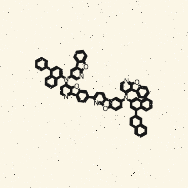 c1ccc(-c2ccc(N(c3cnc4oc5ccccc5c4c3)c3ccnc4c3oc3cc(-c5ccc6c(n5)oc5ccc(N(c7cc(-c8ccc9ccccc9c8)c8ccccc8c7)c7ccnc8oc9ccccc9c78)cc56)ccc34)c3ccccc23)cc1